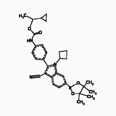 CC(OC(=O)Nc1ccc(-c2c(C#N)c3ccc(B4OC(C)(C)C(C)(C)O4)cc3n2C2CCC2)cc1)C1CC1